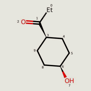 CCC(=O)[C@H]1CC[C@@H](O)CC1